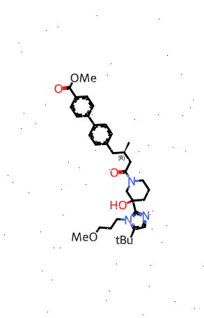 COCCCn1c(C(C)(C)C)cnc1C1(O)CCCN(C(=O)C[C@H](C)Cc2ccc(-c3ccc(C(=O)OC)cc3)cc2)C1